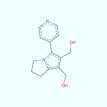 OCc1c(CO)c(-c2ccncc2)n2c1CCC2